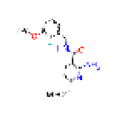 CCCOc1cccc(CNC(=O)c2ccc(COC)nc2N)c1F